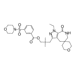 CCn1nc(CC(C)(C)COC(=O)c2cccc(S(=O)(=O)N3CCOCC3)c2)c2c1C(=O)NCC1(CCOCC1)C2